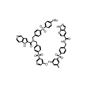 CCCCc1ccc(S(=O)(=O)c2ccc(CN(Cc3ccc(S(=O)(=O)c4cncc(Cl)c4)cc3)C(=O)c3cc4cnccc4[nH]3)cc2)cc1.Cc1cc(F)cc(S(=O)(=O)c2ccc(CNC(=O)c3cnc4[nH]ncc4c3)cc2)c1